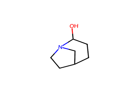 OC1CCC2CCN1C2